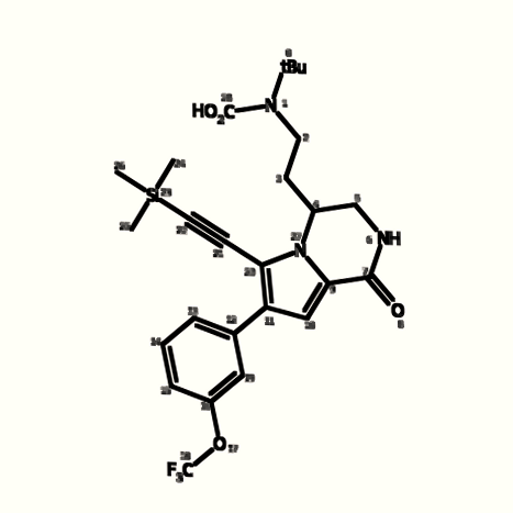 CC(C)(C)N(CCC1CNC(=O)c2cc(-c3cccc(OC(F)(F)F)c3)c(C#C[Si](C)(C)C)n21)C(=O)O